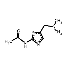 CC(=O)Nc1ncc(CN(C)C)s1